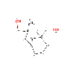 CC1(CO)CC2CCCC(CO)(C2)C1